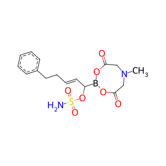 CN1CC(=O)OB(C(C=CCCc2ccccc2)OS(N)(=O)=O)OC(=O)C1